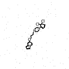 Clc1cccc(N2CCN(CCCCOc3ccn4cccc4c3)CC2)c1Cl